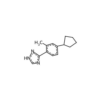 Cc1cc(C2CCCC2)ccc1-c1nc[nH]n1